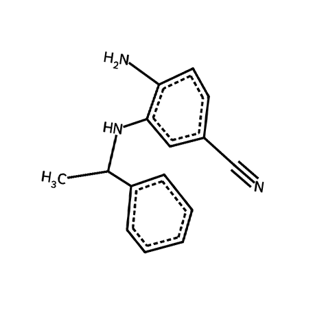 CC(Nc1cc(C#N)ccc1N)c1ccccc1